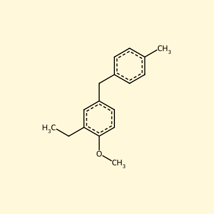 CCc1cc(Cc2ccc(C)cc2)ccc1OC